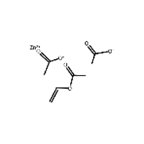 C=COC(C)=O.CC(=O)[O-].CC(=O)[O-].[Zn+2]